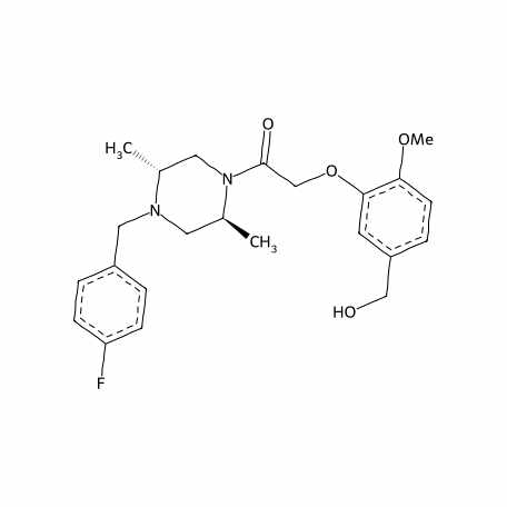 COc1ccc(CO)cc1OCC(=O)N1C[C@@H](C)N(Cc2ccc(F)cc2)C[C@@H]1C